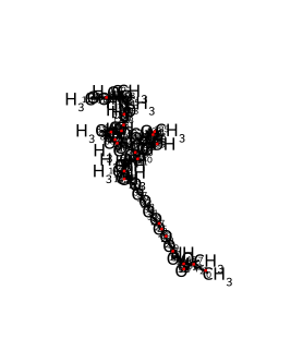 CCCCCC(CC)C1CC(=O)N(CCC(=O)NCCOCCOCCOCCOCCOCCOCCOCCOCCC(=O)N[C@H](C(=O)N[C@@H](C)C(=O)Nc2ccc(COCN3c4cc(OCCCCCOc5cc6c(cc5OC)C(=O)N5C=C(C)C[C@H]5[C@H](O)N6C(=O)OCc5ccc(NC(=O)[C@H](C)NC(=O)[C@@H](NC(=O)CCOCCOC)C(C)C)cc5)c(OC)cc4C(=O)N4C=C(C)C[C@H]4[C@@H]3O)cc2)C(C)C)C1=O